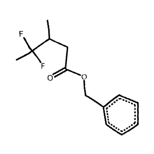 CC(CC(=O)OCc1ccccc1)C(C)(F)F